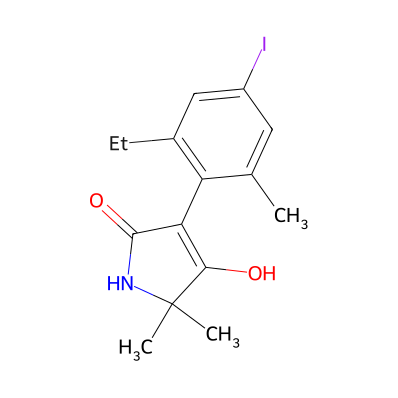 CCc1cc(I)cc(C)c1C1=C(O)C(C)(C)NC1=O